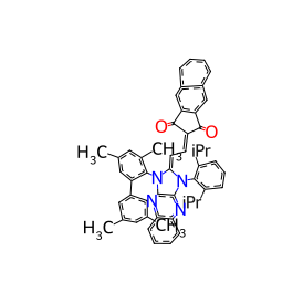 Cc1cc(C)cc(-c2cc(C)cc(C)c2N2/C(=C/C=C3C(=O)c4cc5ccccc5cc4C3=O)N(c3c(C(C)C)cccc3C(C)C)c3nc4ccccc4nc32)c1